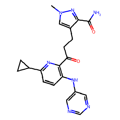 Cn1cc(CCC(=O)c2nc(C3CC3)ccc2Nc2cncnc2)c(C(N)=O)n1